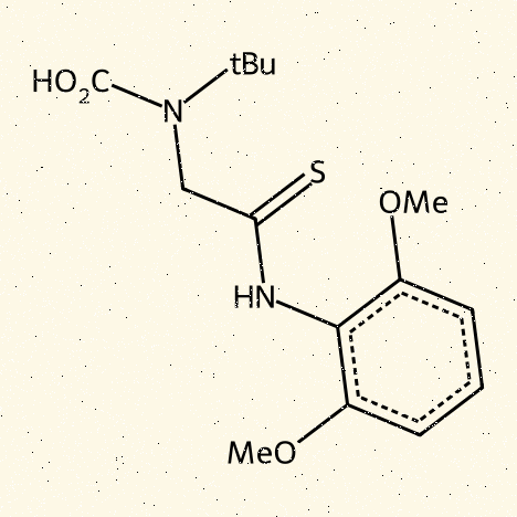 COc1cccc(OC)c1NC(=S)CN(C(=O)O)C(C)(C)C